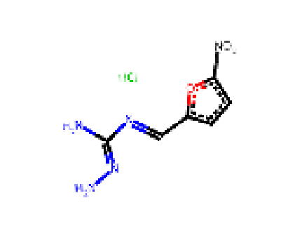 Cl.NN=C(N)N=Cc1ccc([N+](=O)[O-])o1